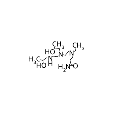 CCN(CCC(N)=O)CCN(CCNC[C@H](C)O)C[C@H](C)O